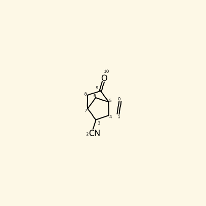 C=C.N#CC1CC2CC1CC2=O